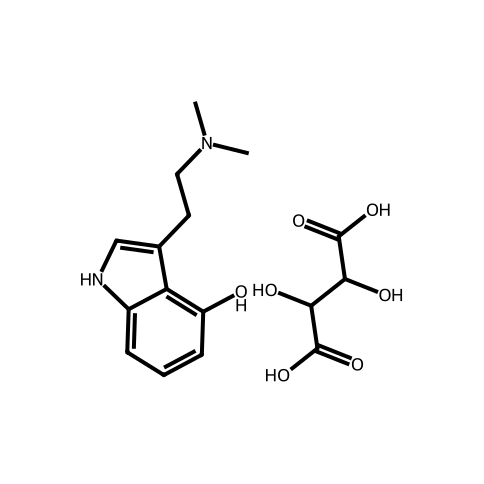 CN(C)CCc1c[nH]c2cccc(O)c12.O=C(O)C(O)C(O)C(=O)O